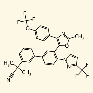 Cc1nc(-c2ccc(OC(F)(F)F)cc2)c(-c2cc(-c3cccc(C(C)(C)C#N)c3)ccc2-n2ccc(C(F)(F)F)n2)o1